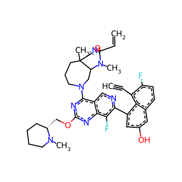 C#Cc1c(F)ccc2cc(O)cc(-c3ncc4c(N5CCCC(C)(C#N)C(N(C)C(=O)C=C)C5)nc(OC[C@H]5CCCCN5C)nc4c3F)c12